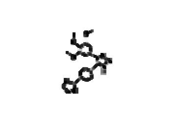 COc1cc(-c2nn[nH]c2-c2ccc(-c3ncco3)cc2)cc(OC)c1OC